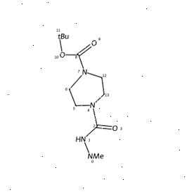 CNNC(=O)N1CCN(C(=O)OC(C)(C)C)CC1